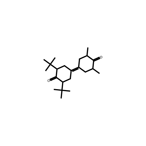 CC1CC(=C2CC(C(C)(C)C)C(=O)C(C(C)(C)C)C2)CC(C)C1=O